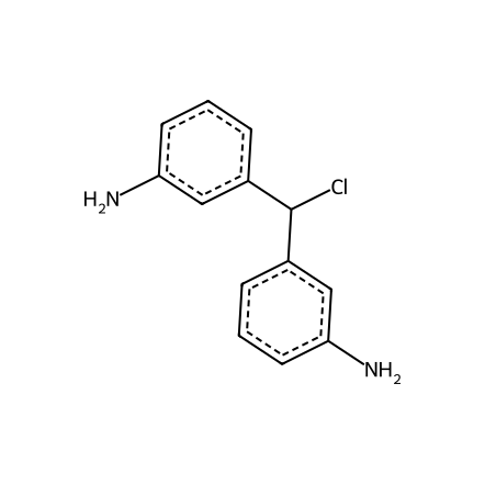 Nc1cccc(C(Cl)c2cccc(N)c2)c1